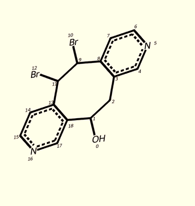 OC1Cc2cnccc2C(Br)C(Br)c2ccncc21